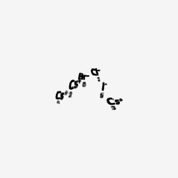 [Br-].[Cl-].[Cs+].[Cs+].[Cs+].[I-]